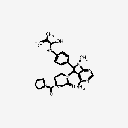 C=C(C)C(O)Nc1ccc(-c2c(N3CC[C@H](C(=O)N4CCCC4)CC3=O)c3c(N)ncnc3n2C)cc1